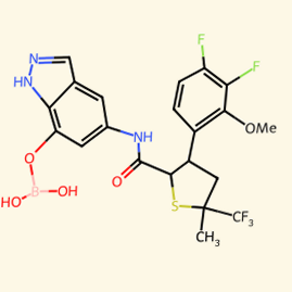 COc1c(C2CC(C)(C(F)(F)F)SC2C(=O)Nc2cc(OB(O)O)c3[nH]ncc3c2)ccc(F)c1F